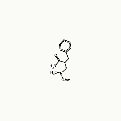 CON(C)C[C@@H](Cc1ccccc1)C(N)=O